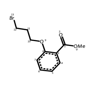 COC(=O)c1ccccc1OCCCBr